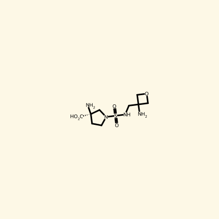 NC1(CNS(=O)(=O)N2CC[C@](N)(C(=O)O)C2)COC1